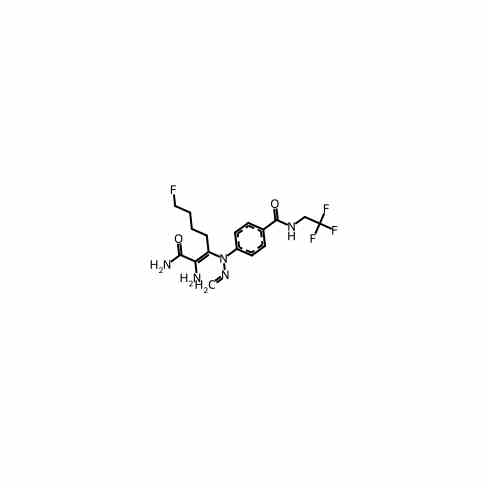 C=NN(/C(CCCCF)=C(\N)C(N)=O)c1ccc(C(=O)NCC(F)(F)F)cc1